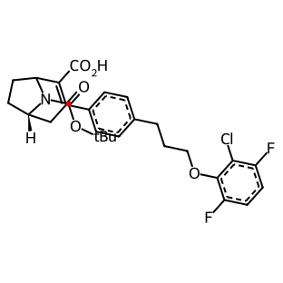 CC(C)(C)OC(=O)N1C2CC[C@H]1CC(c1ccc(CCCOc3c(F)ccc(F)c3Cl)cc1)=C2C(=O)O